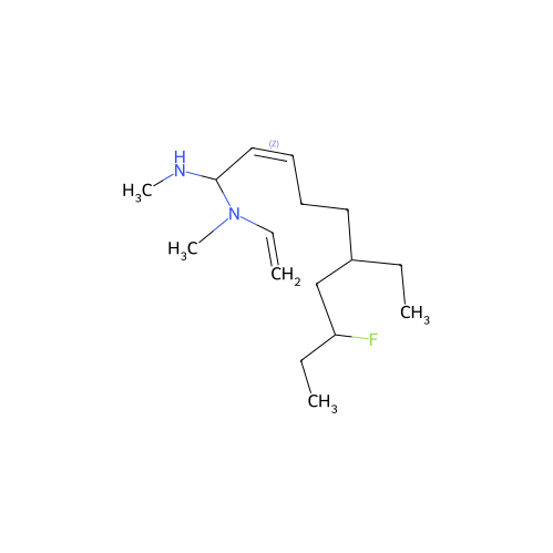 C=CN(C)C(/C=C\CCC(CC)CC(F)CC)NC